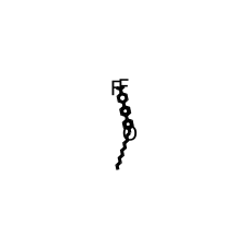 CCCCCCCCCCOc1ccc(-c2ccc(C3CCC(C(F)F)CC3)cc2)cc1